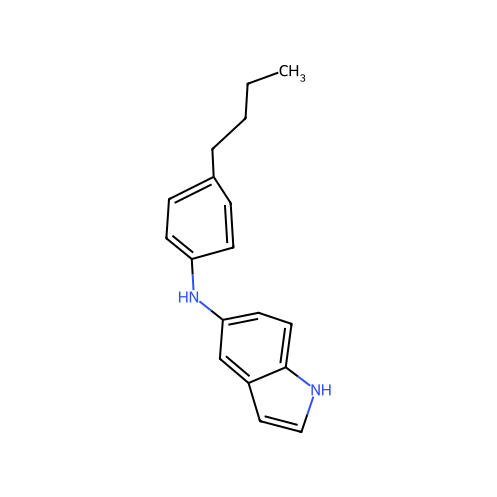 CCCCc1ccc(Nc2ccc3[nH]ccc3c2)cc1